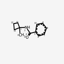 CC1(NC(=O)c2ccccc2)CCC1